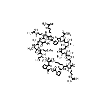 CSCC[C@H](NC(=O)[C@H](C)NC(=O)[C@H](C)NC(=O)[C@@H](NC(=O)[C@H](CCCNC(=N)N)NC(=O)[C@H](CCCNC(=N)N)NC(=O)[C@@H]1CCCN1C(=O)[C@H](CCC(N)=O)NC(=O)[C@@H](NC(=O)[C@H](CS)NC(=O)[C@H](C)NC(=O)[C@@H](NC(=O)CNC(=O)[C@H](CCCNC(=N)N)NC(=O)[C@H](CCCCN)NC(=O)[C@@H]1CCCN1C(=O)CNC(=O)[C@@H]1CCCN1C(=O)[C@@H](N)CC(C)C)C(C)C)[C@@H](C)O)C(C)C)C(=O)N[C@@H](CO)C(=O)O